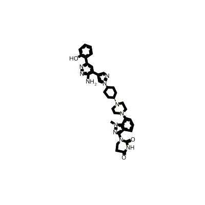 Cn1nc(N2CCC(=O)NC2=O)c2cccc(N3CCN([C@H]4CC[C@H](n5cc(-c6cc(-c7ccccc7O)nnc6N)cn5)CC4)CC3)c21